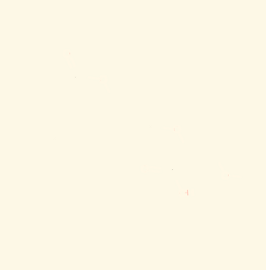 CCOC[C@@H](Oc1ccc2c(-c3ccccc3C)cc(=O)oc2c1)C(=O)O